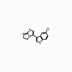 Clc1ccc2scc(C3=CSC4=NCCN34)c2c1